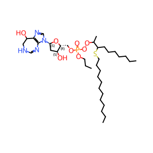 CCCCCCCCCCCCSC(CCCCCCC)C(C)OOP(=O)(OCCC)OC[C@H]1O[C@H](n2cnc3c2N=CNCC3O)C[C@@H]1O